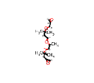 CC(COC(C)(C)CC1CO1)OCCC(C)(C)OCC1CO1